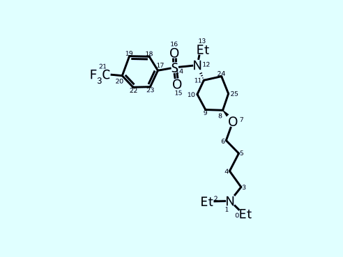 CCN(CC)CCCCO[C@H]1CC[C@H](N(CC)S(=O)(=O)c2ccc(C(F)(F)F)cc2)CC1